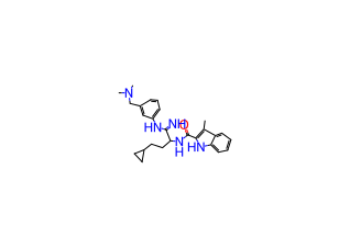 Cc1c(C(=O)NC(CCC2CC2)C(=N)Nc2cccc(CN(C)C)c2)[nH]c2ccccc12